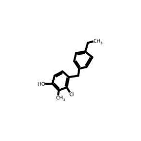 CCc1ccc(Cc2ccc(O)c(C)c2Cl)cc1